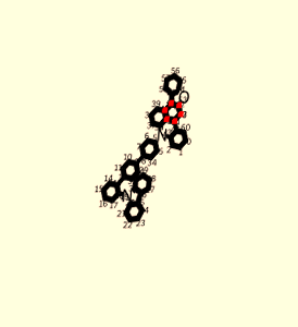 c1ccc(N(c2ccc(-c3ccc(-c4ccccc4-n4c5ccccc5c5ccccc54)cc3)cc2)c2cccc3ccccc23)c(-c2ccc3c(c2)oc2ccccc23)c1